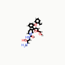 CCc1ccccc1Oc1ccccc1C(O)(CCCCOC)C1CCCN(C(=O)NCC(O)CN)C1